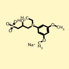 CCN(CC(O)CS(=O)(=O)[O-])c1cc(OC)cc(OC)c1.[Na+]